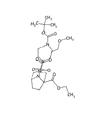 CCOC(=O)C12CCC(CN(C(=O)OCCOC)C1)N2S(=O)(=O)N1CCN(C(=O)OC(C)(C)C)CC1